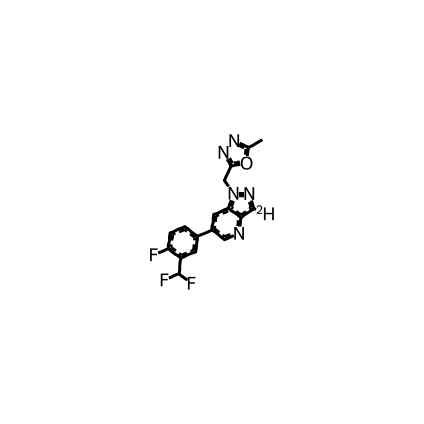 [2H]c1nn(Cc2nnc(C)o2)c2cc(-c3ccc(F)c(C(F)F)c3)cnc12